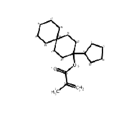 C=C(C)C(=O)OC1(C2CCCC2)CCC2(CCCCC2)CC1